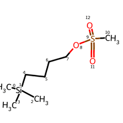 C[Si](C)(C)CCCCOS(C)(=O)=O